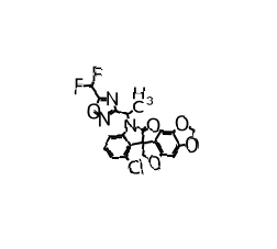 CC(c1noc(C(F)F)n1)N1C(=O)C2(COc3cc4c(cc32)OCO4)c2c(Cl)cccc21